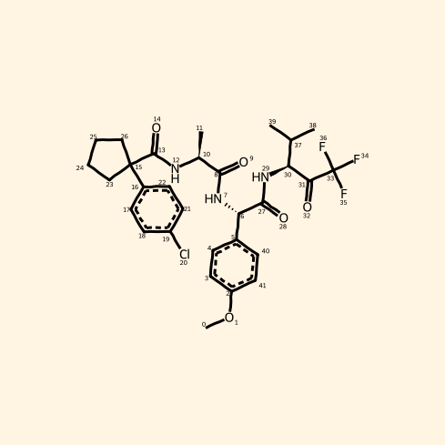 COc1ccc([C@H](NC(=O)[C@H](C)NC(=O)C2(c3ccc(Cl)cc3)CCCC2)C(=O)N[C@H](C(=O)C(F)(F)F)C(C)C)cc1